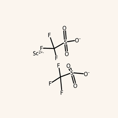 O=S(=O)([O-])C(F)(F)F.O=S(=O)([O-])C(F)(F)F.[Sc+2]